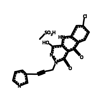 CS(=O)(=O)O.O=c1c2ccc(Cl)cc2[nH]c2c(O)nn(CC#Cc3cccnc3)c(=O)c12